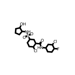 O=C(NC1CCC(F)C(Cl)C1)C1CC(S(=O)(=O)NC2CCCC2O)CCC1Cl